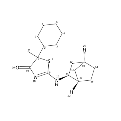 CC1(C2CCCCC2)SC(N[C@H]2C[C@H]3CC[C@H]2C3)=NC1=O